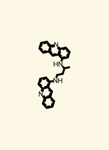 CC(CCNc1cccc2nc3ccccc3cc12)Nc1cccc2nc3ccccc3cc12